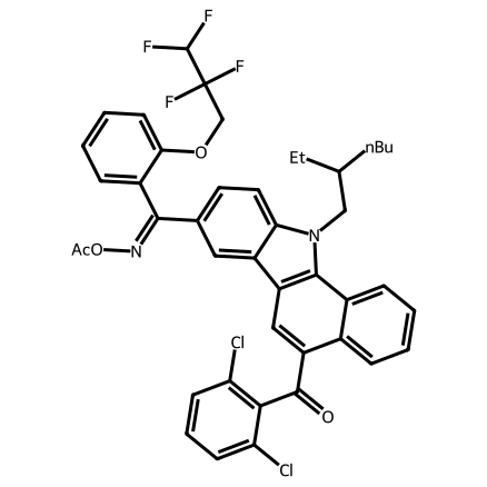 CCCCC(CC)Cn1c2ccc(/C(=N/OC(C)=O)c3ccccc3OCC(F)(F)C(F)F)cc2c2cc(C(=O)c3c(Cl)cccc3Cl)c3ccccc3c21